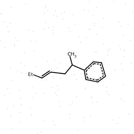 CC/C=C/CC(C)c1ccccc1